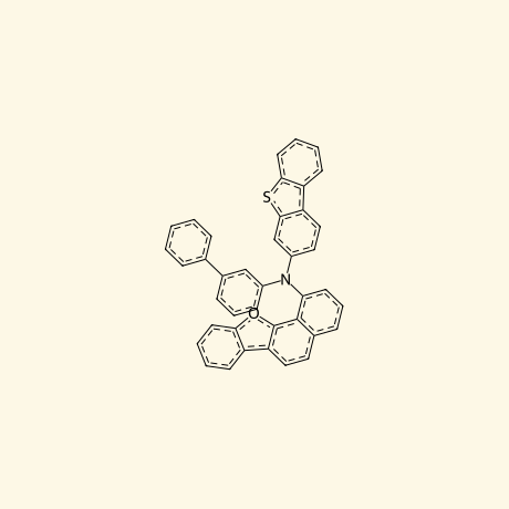 c1ccc(-c2cccc(N(c3ccc4c(c3)sc3ccccc34)c3cccc4ccc5c6ccccc6oc5c34)c2)cc1